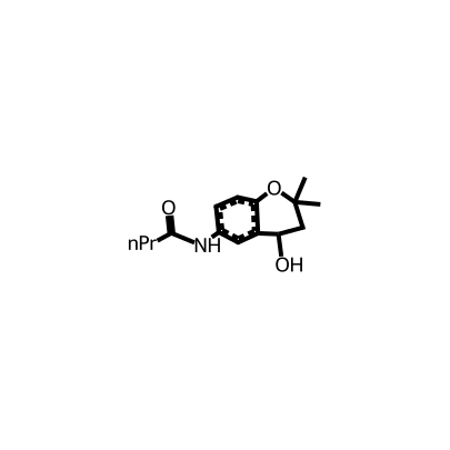 CCCC(=O)Nc1ccc2c(c1)C(O)CC(C)(C)O2